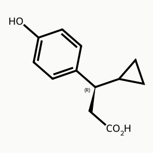 O=C(O)C[C@@H](c1ccc(O)cc1)C1CC1